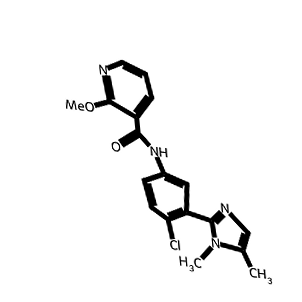 COc1ncccc1C(=O)Nc1ccc(Cl)c(-c2ncc(C)n2C)c1